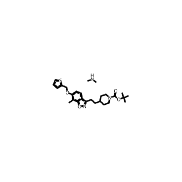 CNC.Cc1c(OCc2cccs2)ccc2c(CCC3CCN(C(=O)OC(C)(C)C)CC3)noc12